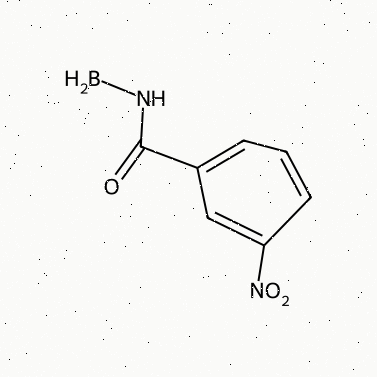 BNC(=O)c1cccc([N+](=O)[O-])c1